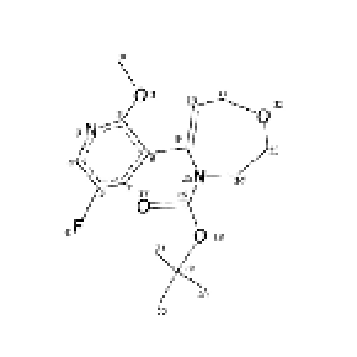 COc1ncc(F)cc1C1=CCOCCN1C(=O)OC(C)(C)C